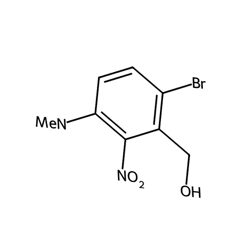 CNc1ccc(Br)c(CO)c1[N+](=O)[O-]